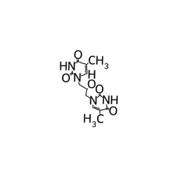 Cc1cn(CC(O)Cn2cc(C)c(=O)[nH]c2=O)c(=O)[nH]c1=O